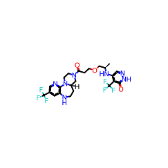 C[C@H](COCCC(=O)N1CCN2c3ncc(C(F)(F)F)cc3NCC[C@H]2C1)Nc1cn[nH]c(=O)c1C(F)(F)F